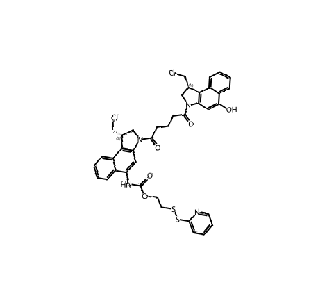 O=C(Nc1cc2c(c3ccccc13)[C@H](CCl)CN2C(=O)CCCC(=O)N1C[C@@H](CCl)c2c1cc(O)c1ccccc21)OCCSSc1ccccn1